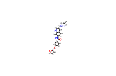 Cc1c(NC(=O)c2ccc(OC[C@@H]3CCCO3)cc2)ccc2cc(CNCC3CC3)cnc12